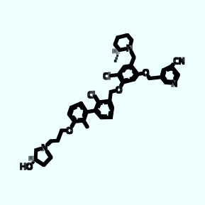 Cc1c(OCCCN2CC[C@H](O)C2)cccc1-c1cccc(COc2cc(OCc3cncc(C#N)c3)c(CN3CCCC[C@H]3C)cc2Cl)c1Cl